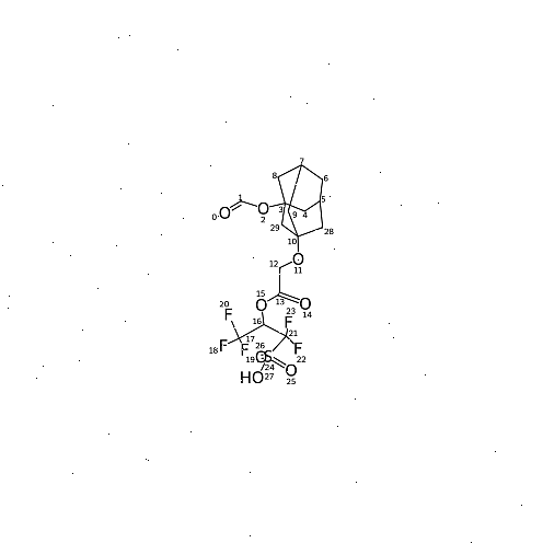 O=COC12CC3CC(C1)CC(OCC(=O)OC(C(F)(F)F)C(F)(F)S(=O)(=O)O)(C3)C2